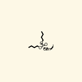 CCCCOP(=O)(OCCCC)[O][Zn][CH2]I